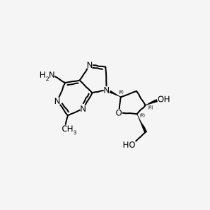 Cc1nc(N)c2ncn([C@H]3C[C@@H](O)[C@@H](CO)O3)c2n1